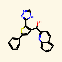 OC(c1ccc2ccccc2n1)c1cc(-c2ccccc2)sc1-c1nnc[nH]1